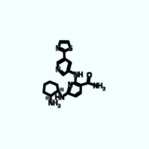 NC(=O)c1ccc(N[C@@H]2CCCC[C@@H]2N)nc1Nc1cncc(-c2nccs2)c1